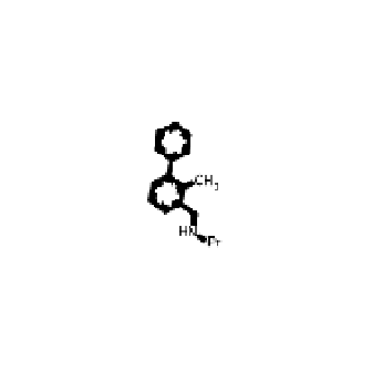 Cc1c(CNC(C)C)cccc1-c1ccccc1